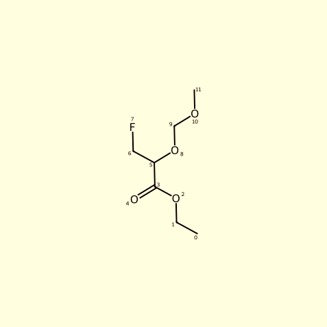 CCOC(=O)C(CF)OCOC